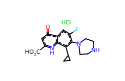 Cl.O=C(O)c1cc(=O)c2cc(F)c(N3CCNCC3)c(C3CC3)c2[nH]1